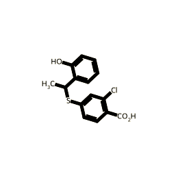 CC(Sc1ccc(C(=O)O)c(Cl)c1)c1ccccc1O